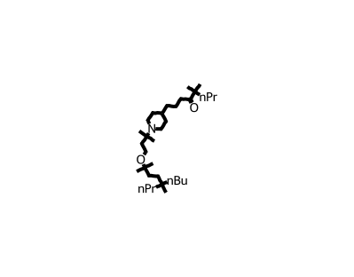 CCCCC(C)(CCC)CCC(C)(C)OCCC(C)(C)N1CCC(CCCC(=O)C(C)(C)CCC)CC1